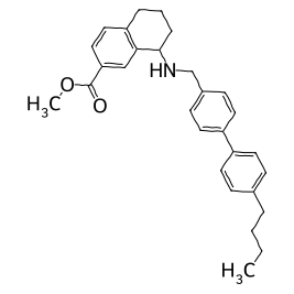 CCCCc1ccc(-c2ccc(CNC3CCCc4ccc(C(=O)OC)cc43)cc2)cc1